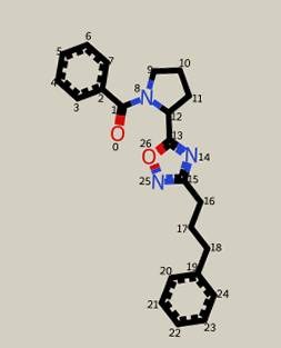 O=C(c1ccccc1)N1CCCC1c1nc(CCCc2ccccc2)no1